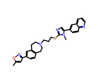 Cc1cc(-c2ccc3c(c2)CCN(CCCSc2ncc(-c4ccc5ncccc5c4)n2C)CC3)no1